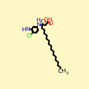 CCCCCCCCCCCCCCCCCC(C)(CC(=O)O)Nc1ccc(Cl)c([NH])c1